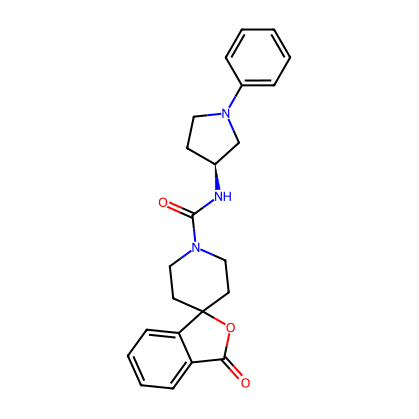 O=C1OC2(CCN(C(=O)N[C@H]3CCN(c4ccccc4)C3)CC2)c2ccccc21